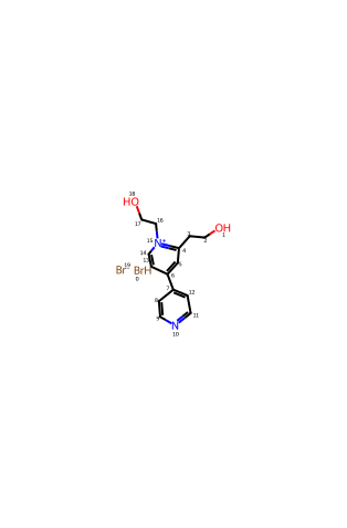 Br.OCCc1cc(-c2ccncc2)cc[n+]1CCO.[Br-]